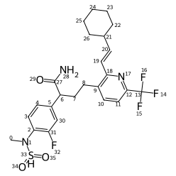 CN(c1ccc(C(CCc2ccc(C(F)(F)F)nc2C=CC2CCCCC2)C(N)=O)cc1F)[SH](=O)=O